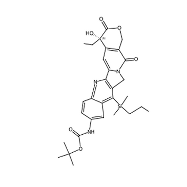 CCC[Si](C)(C)c1c2c(nc3ccc(NC(=O)OC(C)(C)C)cc13)-c1cc3c(c(=O)n1C2)COC(=O)[C@]3(O)CC